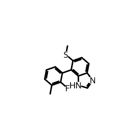 CSc1ccc2nc[nH]c2c1-c1cccc(C)c1F